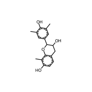 Cc1cc(C2Oc3c(ccc(O)c3C)CC2O)cc(C)c1O